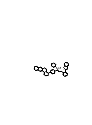 C(/Cc1ccccc1-c1cc2ccccc2s1)=C(/Nc1ccccc1)c1ccc(-c2cccc3c2ccc2cc4ccccc4cc23)cc1